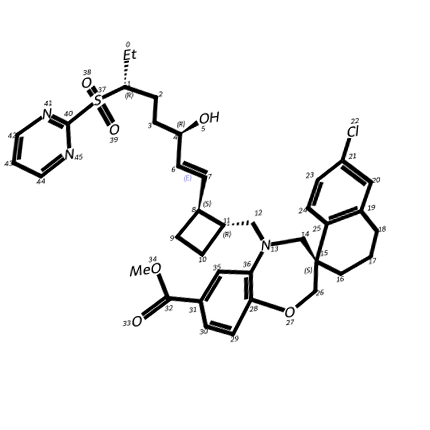 CC[C@H](CC[C@@H](O)/C=C/[C@@H]1CC[C@H]1CN1C[C@@]2(CCCc3cc(Cl)ccc32)COc2ccc(C(=O)OC)cc21)S(=O)(=O)c1ncccn1